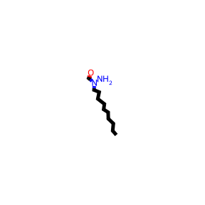 CCCCCCCCCCN(N)C=O